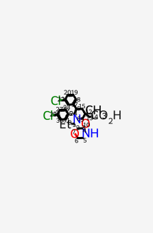 CCC([C@@H]1CNCCO1)N1C(=O)[C@@](C)(CC(=O)O)CC(c2cccc(Cl)c2)[C@H]1c1ccc(Cl)cc1